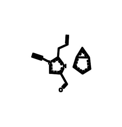 C#Cn1cc(C=O)nc1CC=C.c1cc2cc-2c1